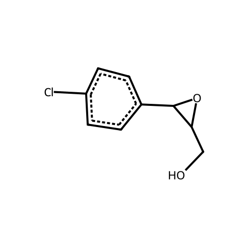 OCC1OC1c1ccc(Cl)cc1